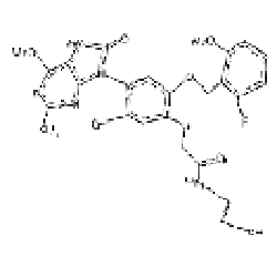 COc1cccc(F)c1COc1cc(-n2c(=O)[nH]c3c(OC)nc(C)nc32)c(Cl)cc1OCC(=O)NCCO